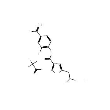 CC(Cc1cc(C(=O)Oc2ccc(C(=N)N)cc2F)co1)C(=O)O.O=C(O)C(F)(F)F